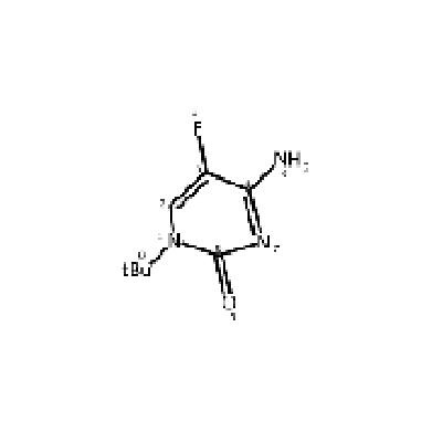 CC(C)(C)n1cc(F)c(N)nc1=O